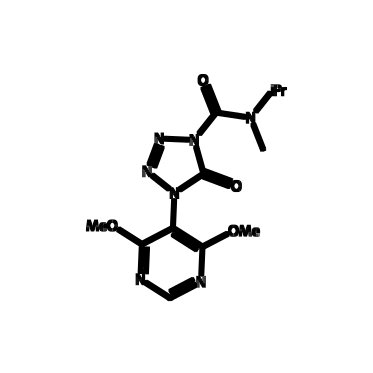 COc1ncnc(OC)c1-n1nnn(C(=O)N(C)C(C)C)c1=O